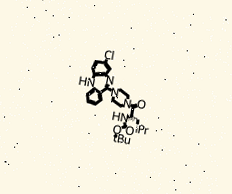 CC(C)C[C@H](NC(=O)OC(C)(C)C)C(=O)N1CCN(C2=Nc3cc(Cl)ccc3Nc3ccccc32)CC1